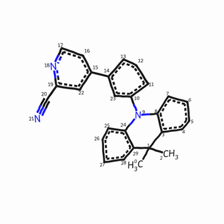 CC1(C)c2ccccc2N(c2cccc(-c3ccnc(C#N)c3)c2)c2ccccc21